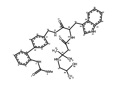 CNC(=O)Nc1ccccc1-c1ccc(CNC(=O)C(Cc2c[nH]c3ccccc23)NC(=O)CC(C)(C)NCC(C)O)cc1